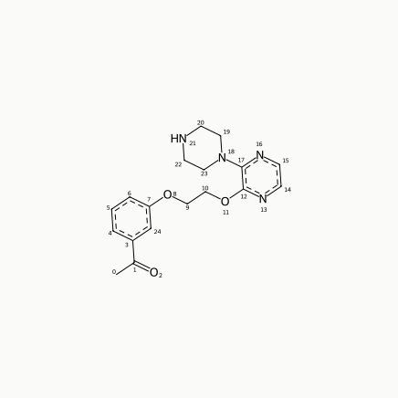 CC(=O)c1cccc(OCCOc2nccnc2N2CCNCC2)c1